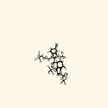 Cc1cc(OC(F)F)c(/C(=N\[S+]([O-])C(C)(C)C)c2nc3cc(C#N)ccc3n2COCC[Si](C)(C)C)c2ccn(C(=O)OC(C)(C)C)c12